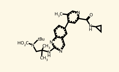 Cc1cnc(C(=O)NC2CC2)cc1-c1ccc2nc(NC(C)(C)CN(C(=O)O)C(C)(C)C)ncc2c1